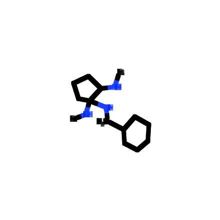 CCNC1CCCC1(NCC)N[SiH2]C1CCCCC1